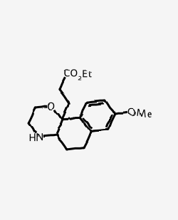 CCOC(=O)CCC12OCCNC1CCc1cc(OC)ccc12